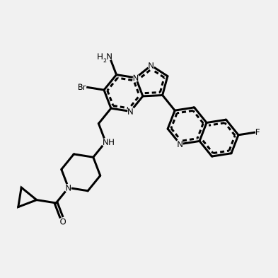 Nc1c(Br)c(CNC2CCN(C(=O)C3CC3)CC2)nc2c(-c3cnc4ccc(F)cc4c3)cnn12